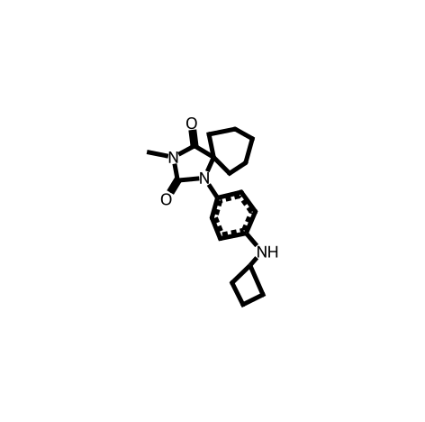 CN1C(=O)N(c2ccc(NC3CCC3)cc2)C2(CCCCC2)C1=O